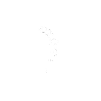 NCCCNCc1ccc(-c2c[nH]c(Nc3nc4ccccc4[nH]3)nc2=O)cc1F